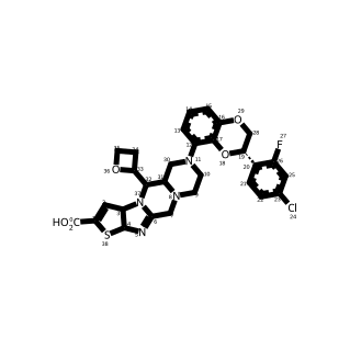 O=C(O)C1=CC2C(N=C3CN4CCN(c5cccc6c5O[C@@H](c5ccc(Cl)cc5F)CO6)CC4C(C4CCO4)N32)S1